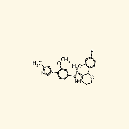 COc1cc(-c2nc3n(n2)CCO[C@H]3c2ccc(F)cc2C)ccc1-n1cnc(C)c1